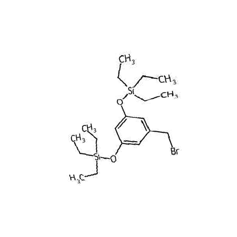 CC[Si](CC)(CC)Oc1cc(CBr)cc(O[Si](CC)(CC)CC)c1